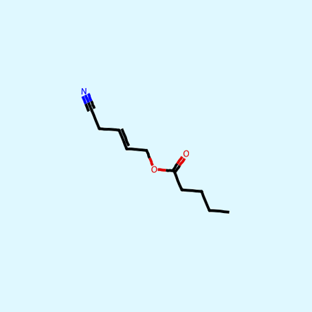 CCCCC(=O)OCC=CCC#N